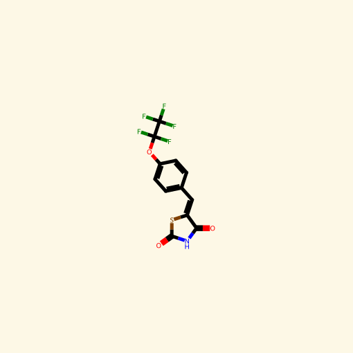 O=C1NC(=O)C(=Cc2ccc(OC(F)(F)C(F)(F)F)cc2)S1